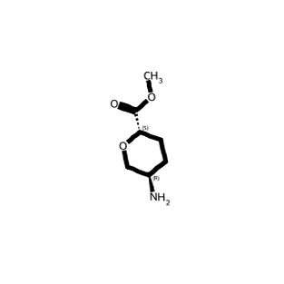 COC(=O)[C@@H]1CC[C@@H](N)CO1